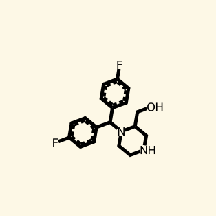 OCC1CNCCN1C(c1ccc(F)cc1)c1ccc(F)cc1